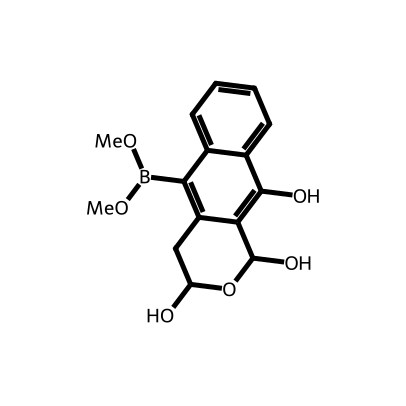 COB(OC)c1c2c(c(O)c3ccccc13)C(O)OC(O)C2